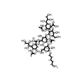 CC(=O)N[C@@H]1C([C@H](O)[C@H](O)CO)O[C@](OC2C(O)[C@H](OC3[C@H](O)C(CO[C@]4(C(=O)O)C[C@@H](O)[C@@H](NC(C)=O)C([C@H](O)[C@H](O)CO)O4)O[C@@H](OC4[C@@H](O)C(CO)O[C@@H](OCCCCCN)[C@H]4O)[C@H]3NC(C)=O)OC(CO)[C@@H]2O)(C(=O)O)C[C@@H]1O